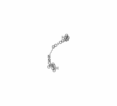 CC(C)(c1ccc(OCCCCCCCCN2CC3(C2)CN(c2ccc4c(c2)C(=O)N(C2CCC(=O)NC2=O)C4=O)C3)cc1)c1ccc(OCc2ccnc(NS(C)(=O)=O)n2)cc1